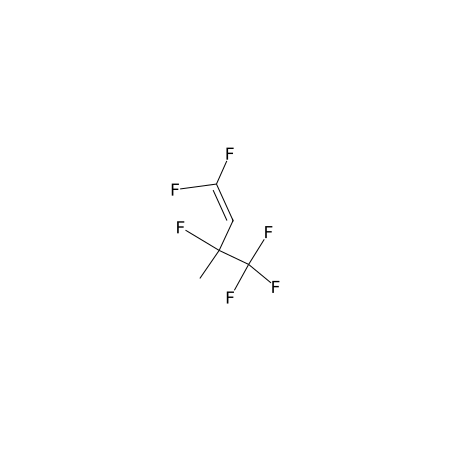 CC(F)(C=C(F)F)C(F)(F)F